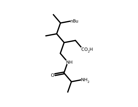 CCCCC(C)C(C)C(CNC(=O)C(C)N)CC(=O)O